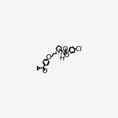 O=C(c1ccc(OCCCN2CCCC2NS(=O)(=O)c2ccc(Cl)cc2)cc1)C1CC1